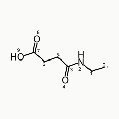 [CH2]CNC(=O)CCC(=O)O